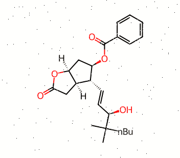 CCCCC(C)(C)[C@H](O)C=C[C@@H]1[C@H]2CC(=O)O[C@H]2C[C@H]1OC(=O)c1ccccc1